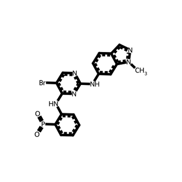 Cn1ncc2ccc(Nc3ncc(Br)c(Nc4ccccc4P(=O)=O)n3)cc21